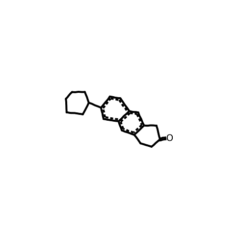 O=C1CCc2cc3cc(C4CCCCC4)ccc3cc2C1